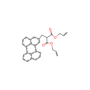 C=CCOC(=O)C(Cc1cc2cccc3c4cccc5cccc(c(c1)c23)c54)C(=O)OCC=C